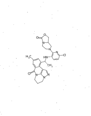 Cc1cc(C(C)Nc2ccc(Cl)nc2N2CCN3C(=O)OCC3C2)c2c(c1)c(=O)n1c3c2cnn3CCC1